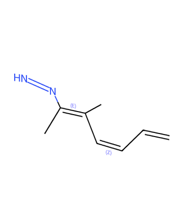 C=C/C=C\C(C)=C(/C)N=N